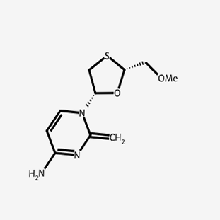 C=C1N=C(N)C=CN1[C@@H]1CS[C@H](COC)O1